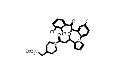 CCOC(=O)CC1CCN(C(=O)CC2OC(C(=O)c3cccc(Cl)c3Cl)c3cc(Cl)ccc3-n3cccc32)CC1